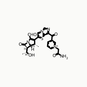 C[C@@H](O)[C@H]1C(=O)N2C(C=O)=C(c3cn4cnc(C(=O)c5ccc[n+](CC(N)=O)c5)c4s3)[C@H](C)[C@H]12